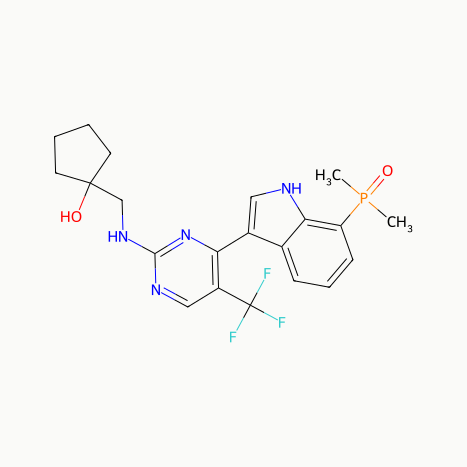 CP(C)(=O)c1cccc2c(-c3nc(NCC4(O)CCCC4)ncc3C(F)(F)F)c[nH]c12